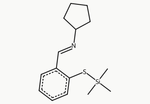 C[Si](C)(C)Sc1ccccc1C=NC1CCCC1